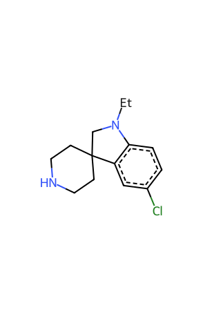 CCN1CC2(CCNCC2)c2cc(Cl)ccc21